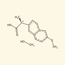 CO.COc1ccc2cc([C@H](C)C(=O)O)ccc2c1